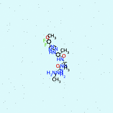 CC/C=C(\N)NCC(N)C(=O)NCC(C)CNC(=O)c1ccc(Nc2nccn3c(-c4ccc(OC)c(F)c4F)cnc23)cc1CC